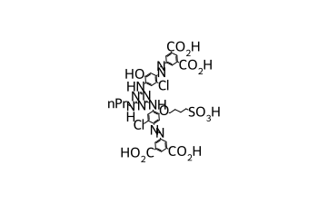 CCCNc1nc(Nc2cc(Cl)c(N=Nc3cc(C(=O)O)cc(C(=O)O)c3)cc2O)nc(Nc2cc(Cl)c(N=Nc3cc(C(=O)O)cc(C(=O)O)c3)cc2OCCCCS(=O)(=O)O)n1